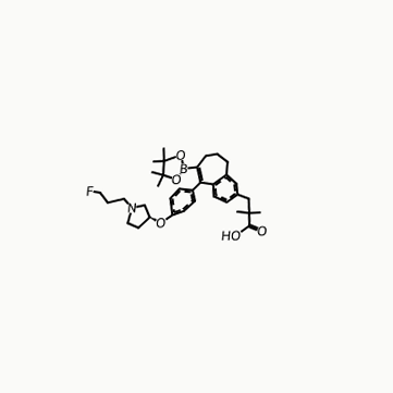 CC(C)(Cc1ccc2c(c1)CCCC(B1OC(C)(C)C(C)(C)O1)=C2c1ccc(O[C@H]2CCN(CCCF)C2)cc1)C(=O)O